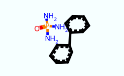 NP(N)(N)=O.c1ccc(-c2ccccc2)cc1